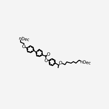 CCCCCCCCCCCCCCCCOC(C)c1ccc(OC(=O)c2ccc(-c3ccc(OCCCCCCCCCCCC)cc3)cc2)cc1